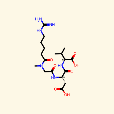 CC(C)[C@H](NC(=O)[C@H](CC(=O)O)NC(=O)CN(C)C(=O)CCCCNC(=N)N)C(=O)O